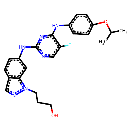 CC(C)Oc1ccc(Nc2nc(Nc3ccc4cnn(CCCO)c4c3)ncc2F)cc1